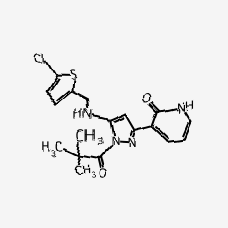 CC(C)(C)C(=O)n1nc(-c2ccc[nH]c2=O)cc1NCc1ccc(Cl)s1